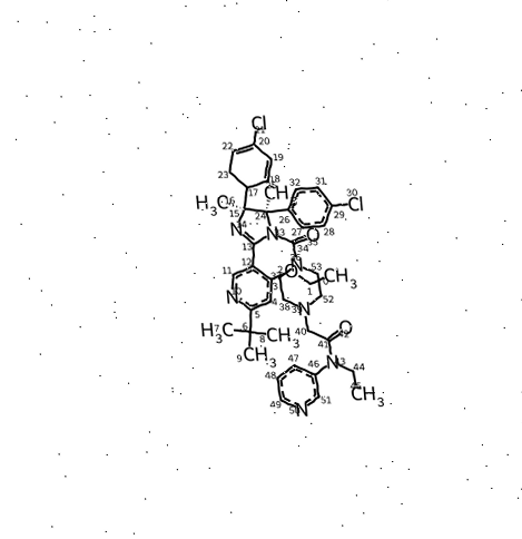 CCOc1cc(C(C)(C)C)ncc1C1=N[C@@](C)(C2C=CC(Cl)=CC2)[C@@](C)(c2ccc(Cl)cc2)N1C(=O)N1CCN(CC(=O)N(CC)c2cccnc2)CC1